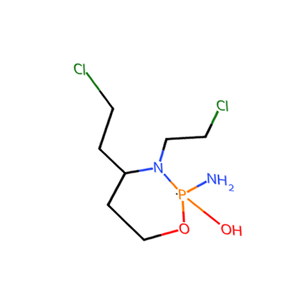 N[P]1(O)OCCC(CCCl)N1CCCl